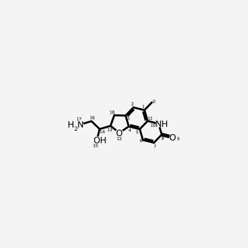 Cc1cc2c(c3ccc(=O)[nH]c13)OC(C(O)CN)C2